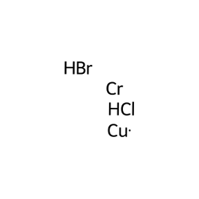 Br.Cl.[Cr].[Cu]